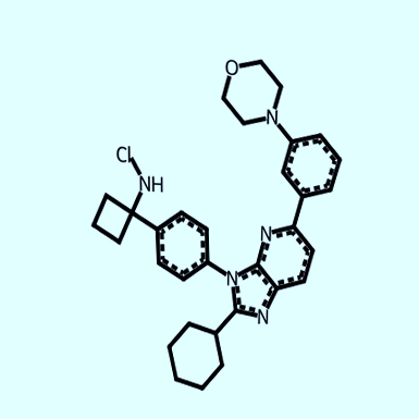 ClNC1(c2ccc(-n3c(C4CCCCC4)nc4ccc(-c5cccc(N6CCOCC6)c5)nc43)cc2)CCC1